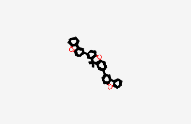 CC1(C)c2cc(-c3ccc4oc5ccccc5c4c3)ccc2Oc2ccc(-c3ccc4oc5ccccc5c4c3)cc21